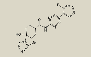 O=C(Nc1ncc(-c2ccccc2F)cn1)[C@H]1CC[C@](O)(c2ccncc2Br)CC1